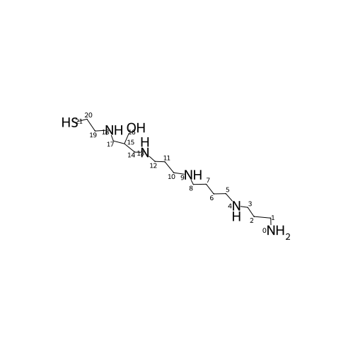 NCCCNCCCCNCCCNCC(O)CNCCS